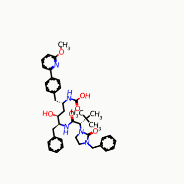 COc1cccc(-c2ccc(C[C@@H](C[C@H](O)[C@H](Cc3ccccc3)NC(=O)[C@@H](N3CCN(Cc4ccccc4)C3=O)C(C)(C)C)NC(=O)O)cc2)n1